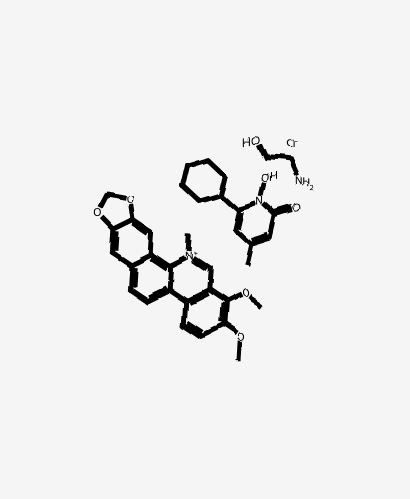 COc1ccc2c(c[n+](C)c3c4cc5c(cc4ccc23)OCO5)c1OC.Cc1cc(C2CCCCC2)n(O)c(=O)c1.NCCO.[Cl-]